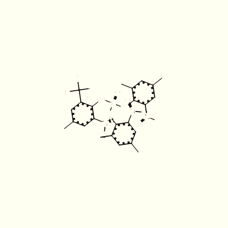 Cc1cc(C)c(OP(=O)(Oc2c(C)cc(C)cc2[N+](=O)[O-])Oc2c([N+](=O)[O-])cc(C)cc2C(F)(F)F)c([N+](=O)[O-])c1